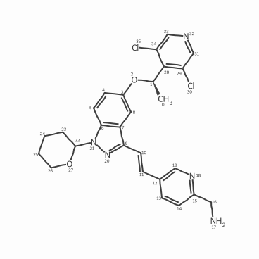 C[C@@H](Oc1ccc2c(c1)c(/C=C/c1ccc(CN)nc1)nn2C1CCCCO1)c1c(Cl)cncc1Cl